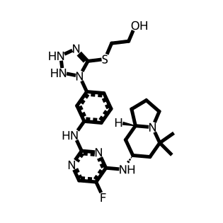 CC1(C)C[C@H](Nc2nc(Nc3cccc(N4NNN=C4SCCO)c3)ncc2F)C[C@@H]2CCCN21